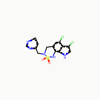 O=S1(=O)Nc2c(cc(Cl)c3c(Cl)c[nH]c23)CN1Cc1ccncn1